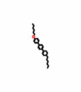 CCCCCCOc1ccc(-c2ccc(C3=CCC(CCCCCC)CC3)cc2)cc1